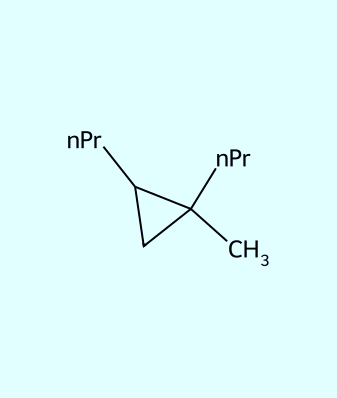 CCCC1CC1(C)CCC